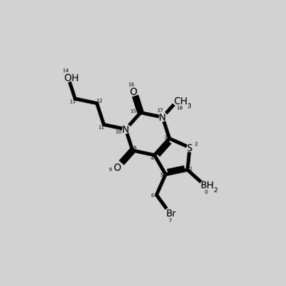 Bc1sc2c(c1CBr)c(=O)n(CCCO)c(=O)n2C